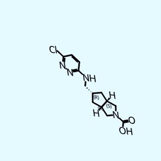 O=C(O)N1C[C@H]2C[C@@H](CNc3ccc(Cl)nn3)C[C@H]2C1